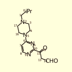 CC(C)CN1CCN(c2ccnc(C(=O)CC=O)n2)CC1